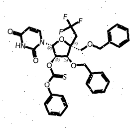 O=c1ccn([C@@H]2O[C@@](COCc3ccccc3)(CC(F)(F)F)[C@@H](OCc3ccccc3)[C@H]2OC(=S)Oc2ccccc2)c(=O)[nH]1